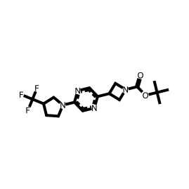 CC(C)(C)OC(=O)N1CC(c2cnc(N3CCC(C(F)(F)F)C3)cn2)C1